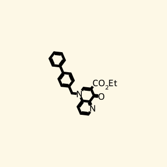 CCOC(=O)c1cn(Cc2ccc(-c3ccccc3)cc2)c2cccnc2c1=O